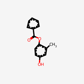 Cc1cc(O)ccc1OC(=O)c1ccccc1